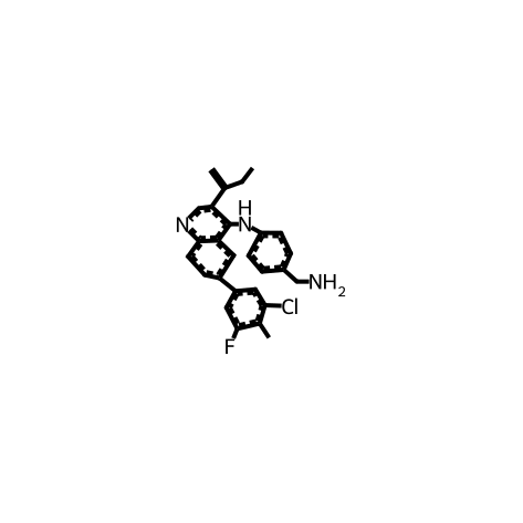 C=C(CC)c1cnc2ccc(-c3cc(F)c(C)c(Cl)c3)cc2c1Nc1ccc(CN)cc1